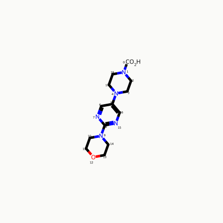 O=C(O)N1CCN(c2cnc(N3CCOCC3)nc2)CC1